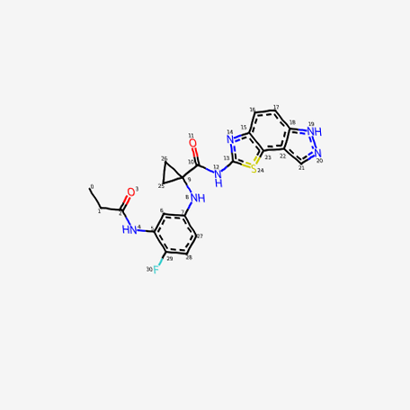 CCC(=O)Nc1cc(NC2(C(=O)Nc3nc4ccc5[nH]ncc5c4s3)CC2)ccc1F